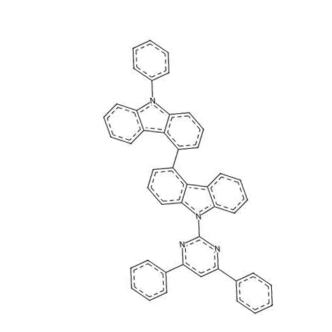 c1ccc(-c2cc(-c3ccccc3)nc(-n3c4ccccc4c4c(-c5cccc6c5c5ccccc5n6-c5ccccc5)cccc43)n2)cc1